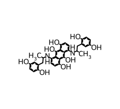 CC(Cc1cc(O)ccc1O)Nc1ccc(O)c2c(O)c3c(NC(C)Cc4cc(O)ccc4O)ccc(O)c3c(O)c12